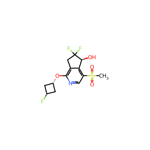 CS(=O)(=O)c1cnc(O[C@H]2C[C@H](F)C2)c2c1[C@H](O)C(F)(F)C2